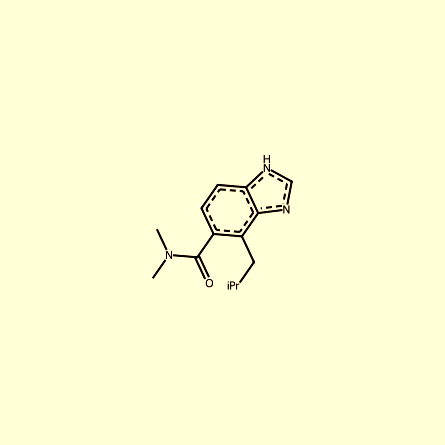 CC(C)Cc1c(C(=O)N(C)C)ccc2[nH]cnc12